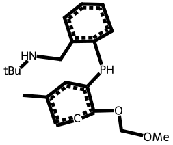 COCOc1ccc(C)cc1Pc1ccccc1CNC(C)(C)C